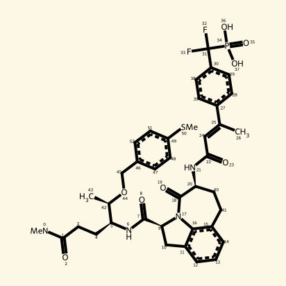 CNC(=O)CC[C@H](NC(=O)[C@@H]1Cc2cccc3c2N1C(=O)[C@@H](NC(=O)/C=C(\C)c1ccc(C(F)(F)P(=O)(O)O)cc1)CC3)[C@@H](C)OCc1ccc(SC)cc1